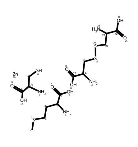 CSCCC(N)C(=O)O.NC(CS)C(=O)O.NC(CSSCC(N)C(=O)O)C(=O)O.[Zn]